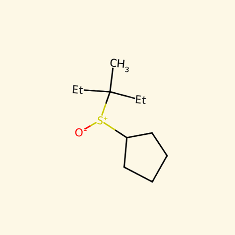 CCC(C)(CC)[S+]([O-])C1CCCC1